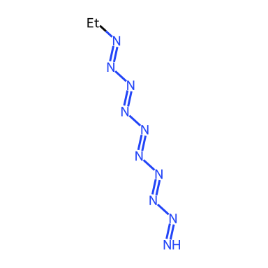 CCN=NN=NN=NN=NN=N